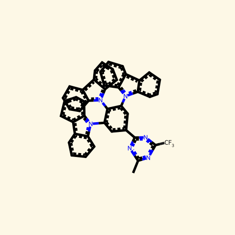 Cc1nc(-c2cc(-n3c4ccccc4c4ccccc43)c(-n3c4ccccc4c4ccccc43)c(-n3c4ccccc4c4ccccc43)c2)nc(C(F)(F)F)n1